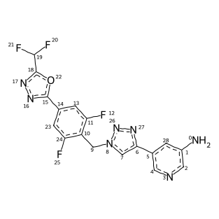 Nc1cncc(-c2cn(Cc3c(F)cc(-c4nnc(C(F)F)o4)cc3F)nn2)c1